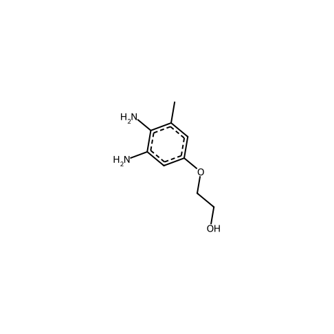 Cc1cc(OCCO)cc(N)c1N